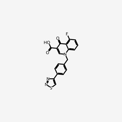 O=C(O)c1cn(Cc2ccc(-c3csnn3)cc2)c2cccc(F)c2c1=O